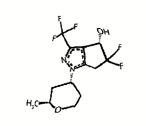 C[C@H]1C[C@H](n2nc(C(F)(F)F)c3c2CC(F)(F)[C@H]3O)CCO1